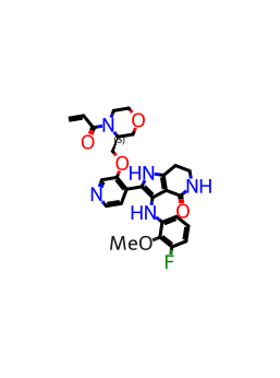 C=CC(=O)N1CCOC[C@H]1COc1cnccc1-c1[nH]c2c(c1Nc1cccc(F)c1OC)C(=O)NCC2